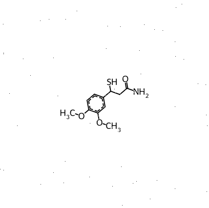 COc1ccc(C(S)CC(N)=O)cc1OC